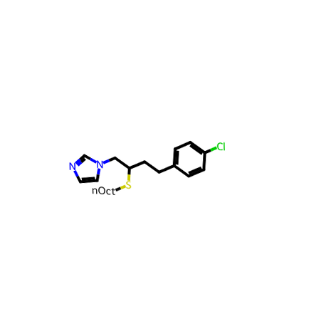 CCCCCCCCSC(CCc1ccc(Cl)cc1)Cn1ccnc1